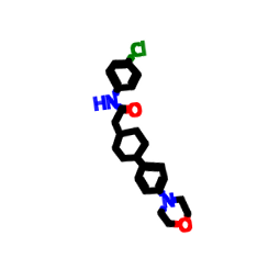 O=C(CC1CCC(c2ccc(N3CCOCC3)cc2)CC1)Nc1ccc(Cl)cc1